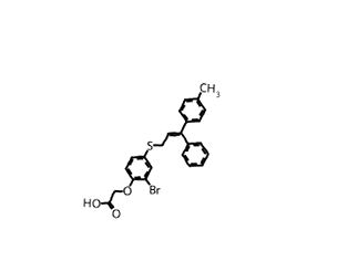 Cc1ccc(C(=CCSc2ccc(OCC(=O)O)c(Br)c2)c2ccccc2)cc1